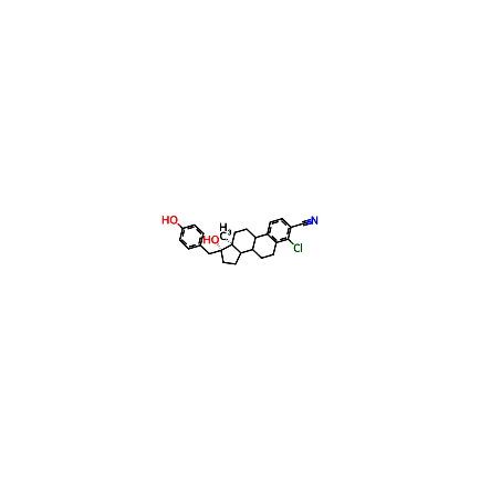 C[C@]12CCC3c4ccc(C#N)c(Cl)c4CCC3C1CC[C@@]2(O)Cc1ccc(O)cc1